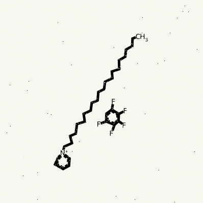 CCCCCCCCCCCCCCCCCCCCCC[n+]1ccccc1.Fc1cc(F)c(F)c(F)c1F